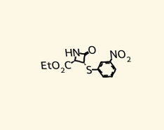 CCOC(=O)[C@H]1NC(=O)[C@@H]1Sc1cccc([N+](=O)[O-])c1